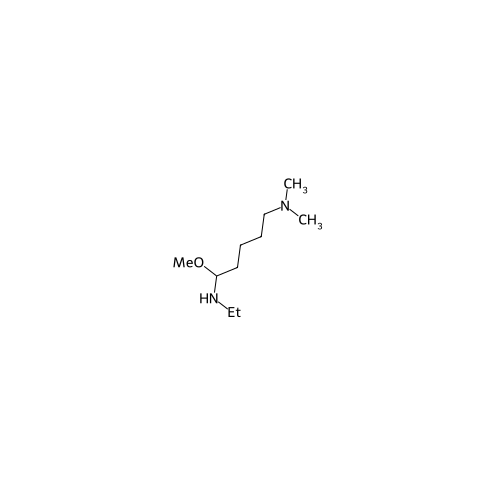 CCNC(CCCCN(C)C)OC